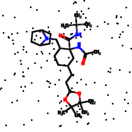 CC(=O)NC1(C(=O)NC(C)(C)C)CC(CCB2OC(C)(C)C(C)(C)O2)CCC1CN1C2CCC1CC2